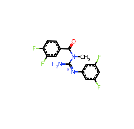 CN(C(=O)c1ccc(F)c(F)c1)/C(N)=N\c1cc(F)cc(F)c1